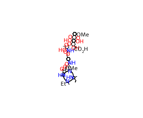 C=Cc1c(C)c2cc3nc(c4c5[nH]c(cc6nc(cc1[nH]2)C(C)=C6CC)c(C)c5C(=O)C4C(=O)OC)[C@@H](CCC(=O)Nc1ccc(COC(=O)NC2C[C@@H](O[C@H]4C[C@](O)(CC(=O)O)Cc5c(O)c6c(c(O)c54)C(=O)c4cccc(OC)c4C6=O)O[C@H](C)[C@@H]2O)cc1)[C@@H]3C